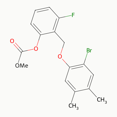 COC(=O)Oc1cccc(F)c1COc1cc(C)c(C)cc1Br